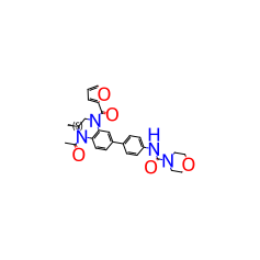 CC(=O)N1c2ccc(-c3ccc(NC(=O)N4CCOCC4)cc3)cc2N(C(=O)c2ccco2)C[C@@H]1C